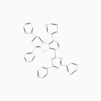 c1ccc(-c2cc(-c3ccccc3)c3oc4c(-c5nc(-c6ccccc6)nc(-c6ccccc6)n5)ccc(-c5cccnc5)c4c3c2)cc1